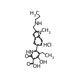 CCCNCc1cc2cc(-c3[nH]c(=O)c(C(=O)O)c(O)c3CC)ccc2n1C.Cl